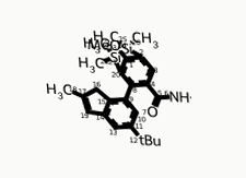 COc1c2cc(C([NH])=O)c(-c3cc(C(C)(C)C)cc4c3CC(C)=C4)c1[Si](C)(C)[Si]2(C)C